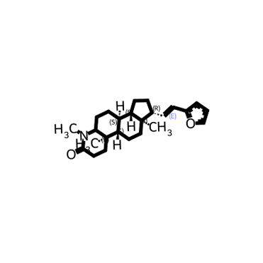 CN1C(=O)CC[C@@]2(C)C1CC[C@H]1[C@@H]3CC[C@H](/C=C/c4ccco4)[C@@]3(C)CC[C@@H]12